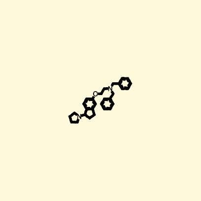 c1ccc(CN(CCOc2ccc3c(c2)CCC3N2CCCC2)Cc2ccccc2)cc1